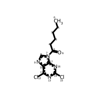 CCCCCC(=O)n1cnc2c(Cl)nc(Cl)nc21